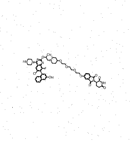 CC(CN1CCC(OCCOCCOCCOc2ccc3c(c2)C(=O)N(C2CCC(=O)NC2=O)C3=O)CC1)Oc1nc(N2CCNCC2)c2cc(Cl)c(-c3cc(O)cc4ccccc34)c(F)c2n1